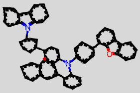 c1cc(-c2ccc(N(c3ccc(-c4cccc5c4oc4ccccc45)cc3)c3ccccc3-c3ccc4ccccc4c3)cc2)cc(-n2c3ccccc3c3ccccc32)c1